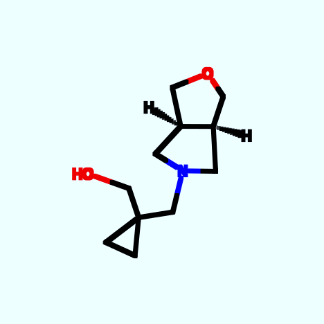 OCC1(CN2C[C@H]3COC[C@H]3C2)CC1